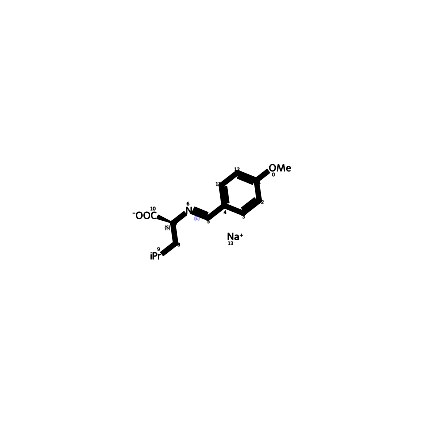 COc1ccc(/C=N/[C@@H](CC(C)C)C(=O)[O-])cc1.[Na+]